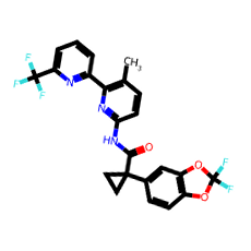 Cc1ccc(NC(=O)C2(c3ccc4c(c3)OC(F)(F)O4)CC2)nc1-c1cccc(C(F)(F)F)n1